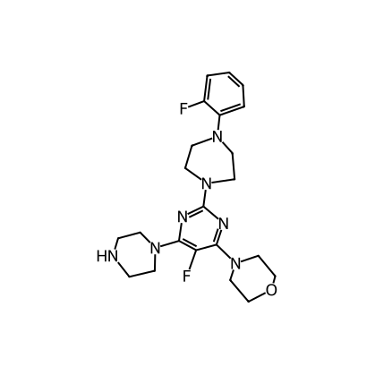 Fc1ccccc1N1CCN(c2nc(N3CCNCC3)c(F)c(N3CCOCC3)n2)CC1